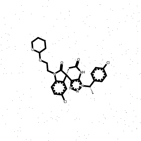 C[C@@H](c1ccc(Cl)cc1)n1nnc2c1NC(=O)C[C@]21C(=O)N(CCOC2CCCCO2)c2ccc(Cl)cc21